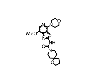 COc1cnc(N2CCOCC2)c2sc(NC(=O)N3CCC4(CCCO4)CC3)nc12